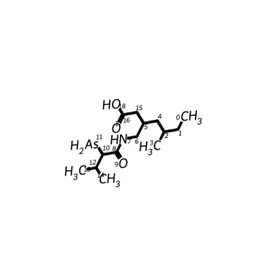 CCC(C)CC(CNC(=O)C([AsH2])C(C)C)CC(=O)O